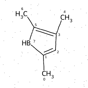 CC1=CC(C)=C(C)B1